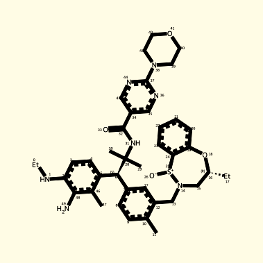 CCNc1ccc([C@H](c2ccc(C)c(CN3C[C@@H](CC)Oc4ccccc4[S+]3[O-])c2)C(C)(C)NC(=O)c2cnc(N3CCOCC3)nc2)c(C)c1N